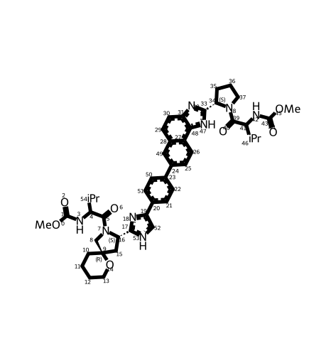 COC(=O)NC(C(=O)N1C[C@@]2(CCCCO2)C[C@H]1c1nc(-c2ccc(-c3ccc4c(ccc5nc([C@@H]6CCCN6C(=O)C(NC(=O)OC)C(C)C)[nH]c54)c3)cc2)c[nH]1)C(C)C